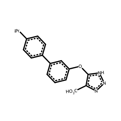 CC(C)c1ccc(-c2cccc(Oc3[nH]nnc3C(=O)O)c2)cc1